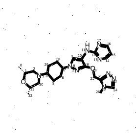 C[C@@H]1CN(C2CCC(n3cc(Nc4ncccn4)c(OCc4nncn4C)n3)CC2)C[C@H](C)O1